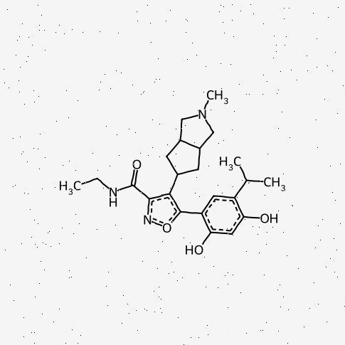 CCNC(=O)c1noc(-c2cc(C(C)C)c(O)cc2O)c1C1CC2CN(C)CC2C1